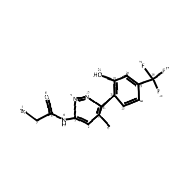 Cc1cc(NC(=O)CBr)nnc1-c1ccc(C(F)(F)F)cc1O